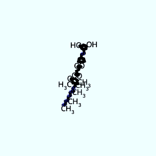 C/C=C/C=C(C)/C=C/C=C(C)/C=C/C1=C(C)C(=O)C(OC(=O)CCC(=O)Oc2ccc(/C=C/c3cc(O)cc(O)c3)cc2)CC1(C)C